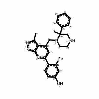 Cc1n[nH]c2nc(-c3ccc(O)cc3F)cc(CN3CCNCC3(C)c3ccccc3)c12